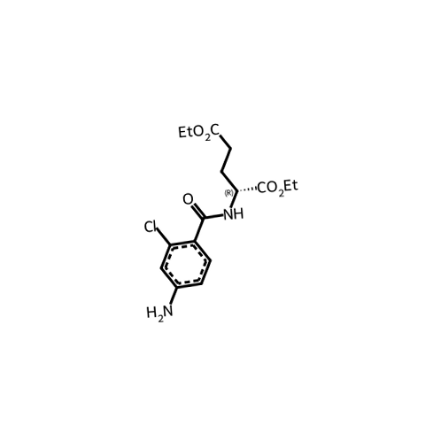 CCOC(=O)CC[C@@H](NC(=O)c1ccc(N)cc1Cl)C(=O)OCC